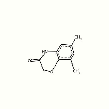 Cc1cc(C)c2c(c1)NC(=O)CO2